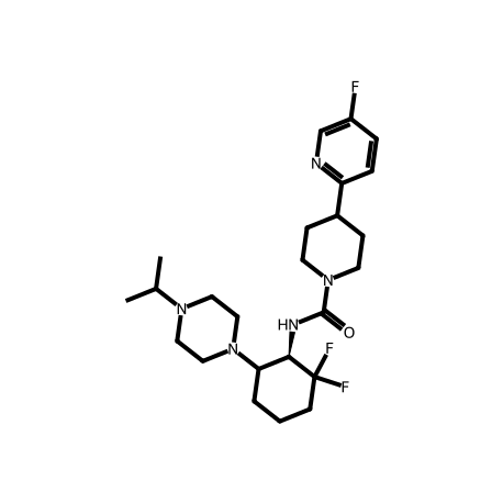 CC(C)N1CCN(C2CCCC(F)(F)[C@@H]2NC(=O)N2CCC(c3ccc(F)cn3)CC2)CC1